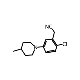 CC1CCN(c2ccc(Cl)c(CC#N)c2)CC1